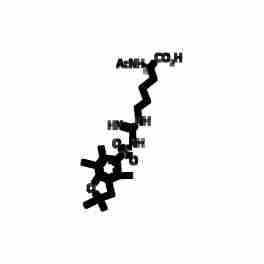 CC(=O)N[C@@H](CCCCNC(=N)NS(=O)(=O)c1c(C)c(C)c2c(c1C)CC(C)(C)O2)C(=O)O